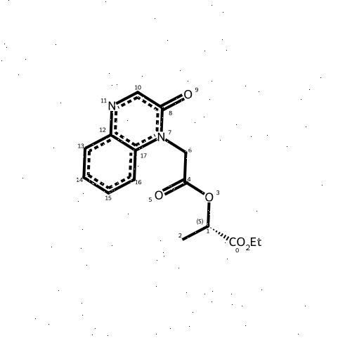 CCOC(=O)[C@H](C)OC(=O)Cn1c(=O)cnc2ccccc21